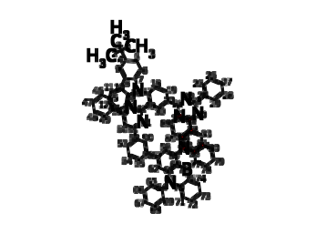 CC(C)(C)c1ccc2c(c1)c1ccccc1n2-c1ccc(-c2nc(-c3ccccc3)nc(-c3ccccc3)n2)cc1-c1nc(-c2ccccc2)cc(-c2cccc(-c3cc4c5c(c3)N(c3ccccc3)c3ccccc3B5c3ccccc3N4c3ccccc3)c2)n1